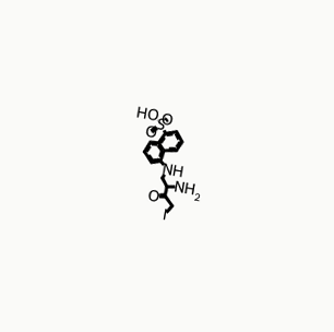 NC(CNc1cccc2c(S(=O)(=O)O)cccc12)C(=O)CI